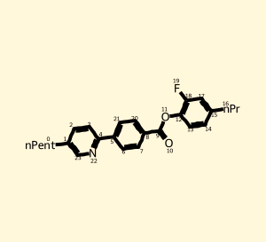 CCCCCc1ccc(-c2ccc(C(=O)Oc3ccc(CCC)cc3F)cc2)nc1